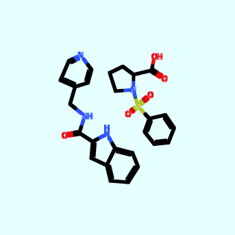 O=C(NCc1ccncc1)c1cc2ccccc2[nH]1.O=C(O)C1CCCN1S(=O)(=O)c1ccccc1